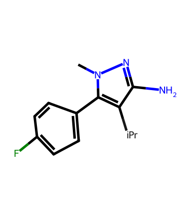 CC(C)c1c(N)nn(C)c1-c1ccc(F)cc1